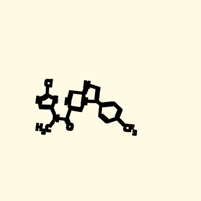 CN(C(=O)c1cn2c(-c3ccc(C(F)(F)F)cc3)cnc2cn1)c1cnc(Cl)s1